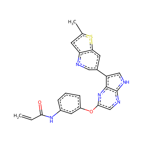 C=CC(=O)Nc1cccc(Oc2cnc3[nH]cc(-c4cnc5cc(C)sc5c4)c3n2)c1